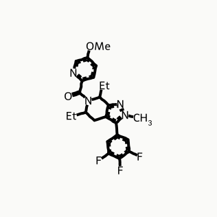 CCC1Cc2c(nn(C)c2-c2cc(F)c(F)c(F)c2)C(CC)N1C(=O)c1ccc(OC)cn1